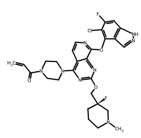 C=CC(=O)N1CCN(c2nc(OC[C@@]3(F)CCCN(C)C3)nc3c(Oc4c(Cl)c(F)cc5[nH]ncc45)nccc23)CC1